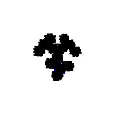 c1ccc(-c2ccc3c4ccccc4n(-c4ccc5c(c4)c4cc(-n6c7ccccc7c7ccc(-c8ccccc8)cc76)ccc4n5-c4ccc5c(c4)c4ccccc4n5-c4nc(-c5ccccc5)nc(-c5ccccc5)n4)c3c2)cc1